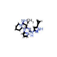 CC[C@H](C(=N)N1CC[CH]CC1)c1nc(Nc2cc(C3CC3)[nH]n2)n2cccc2n1